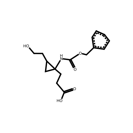 O=C(O)CCC1(NC(=O)OCc2ccccc2)CC1CCO